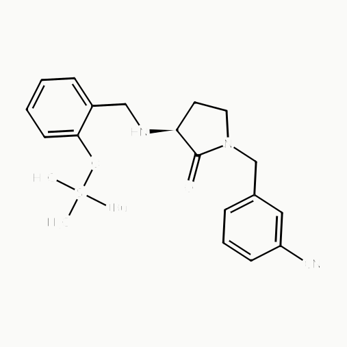 CC(C)(C)[Si](C)(C)Oc1ccccc1CN[C@H]1CCN(Cc2cccc(C#N)c2)C1=O